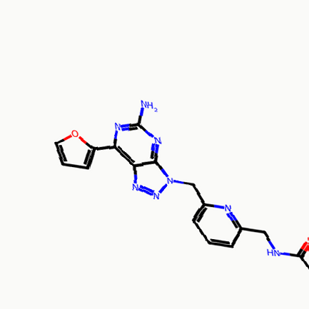 CC(=O)NCc1cccc(Cn2nnc3c(-c4ccco4)nc(N)nc32)n1